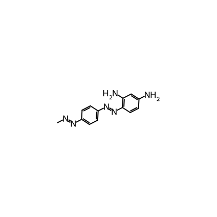 CN=Nc1ccc(N=Nc2ccc(N)cc2N)cc1